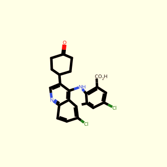 Cc1cc(Cl)cc(C(=O)O)c1Nc1c(C2CCC(=O)CC2)cnc2ccc(Cl)cc12